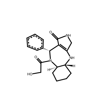 O=C1NCC2=C1[C@@H](c1ccccc1)N(C(=O)CO)[C@@H]1CCCC[C@H]1N2